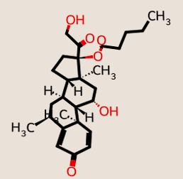 CCCCC(=O)O[C@]1(C(=O)CO)CC[C@H]2[C@@H]3C[C@H](C)C4=CC(=O)C=C[C@]4(C)[C@H]3[C@@H](O)C[C@@]21C